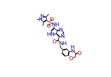 Cc1nn(C)c(C)c1S(=O)(=O)Nc1c[nH]c2c(C(=O)NCc3ccc4c(c3)NC(=O)CO4)ncnc12